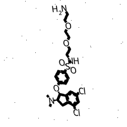 CN(C)[C@@H]1Cc2c(Cl)cc(Cl)cc2[C@@H]1Oc1ccc(S(=O)(=O)NCCOCCOCCN)cc1